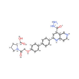 NNC(=O)c1cc(-c2ccc(-c3ccc(OCC(=O)N4CCC[C@@H]4C(=O)O)cc3)cc2)nc2ccncc12